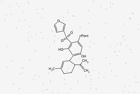 C=C(C)C1CCC(C)=CC1c1c(O)cc(CCCCC)c(S(=O)(=O)c2ccoc2)c1O